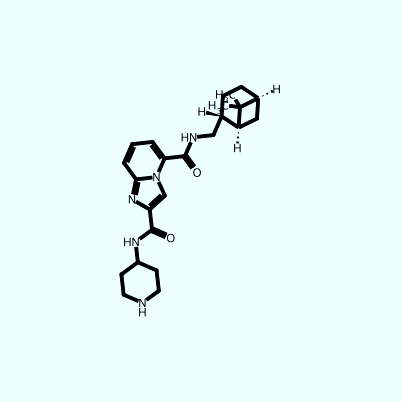 CC1(C)[C@H]2CC[C@@H](CNC(=O)c3cccc4nc(C(=O)NC5CCNCC5)cn34)[C@@H]1C2